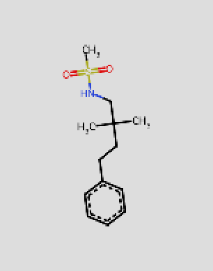 CC(C)(CCc1ccccc1)CNS(C)(=O)=O